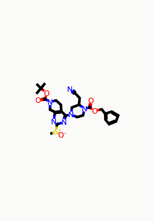 C[S+]([O-])c1nc2c(c(N3CCN(C(=O)OCc4ccccc4)C(CC#N)C3)n1)CCN(C(=O)OC(C)(C)C)C2